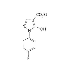 CCOC(=O)c1cnn(-c2ccc(F)cc2)c1O